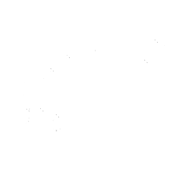 CCCC(=N)c1cc(=O)[nH]c(-c2cc(S(=O)(=O)N3CC(NCCOC(=O)CCCCC(CO[N+](=O)[O-])O[N+](=O)[O-])C3)ccc2OCC)n1